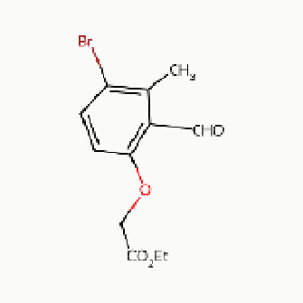 CCOC(=O)COc1ccc(Br)c(C)c1C=O